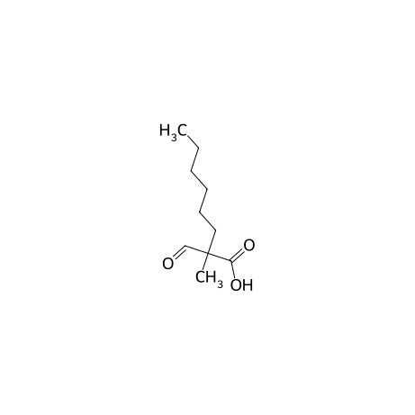 CCCCCCC(C)(C=O)C(=O)O